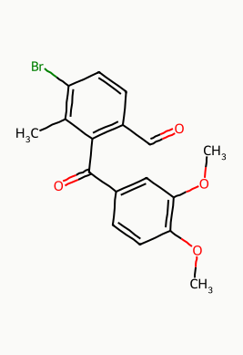 COc1ccc(C(=O)c2c(C=O)ccc(Br)c2C)cc1OC